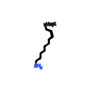 CCCCCCCC/C=C\CCCCCCCN